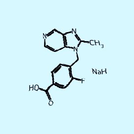 Cc1nc2cnccc2n1Cc1ccc(C(=O)O)cc1F.[NaH]